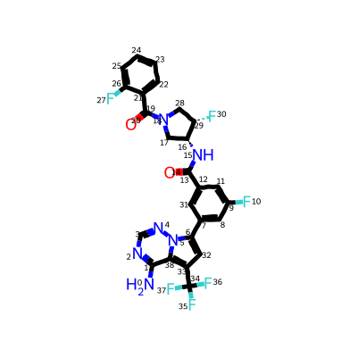 Nc1ncnn2c(-c3cc(F)cc(C(=O)N[C@@H]4CN(C(=O)c5ccccc5F)C[C@@H]4F)c3)cc(C(F)(F)F)c12